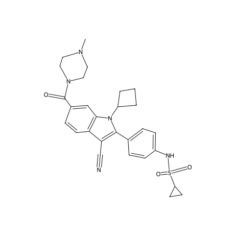 CN1CCN(C(=O)c2ccc3c(C#N)c(-c4ccc(NS(=O)(=O)C5CC5)cc4)n(C4CCC4)c3c2)CC1